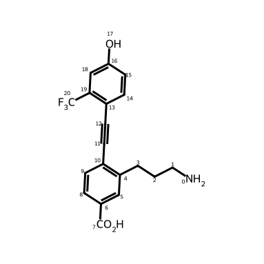 NCCCc1cc(C(=O)O)ccc1C#Cc1ccc(O)cc1C(F)(F)F